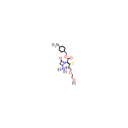 CCOCCOCCC([S-])=C(C(=O)OCc1ccc([N+](=O)[O-])cc1)N1C(=O)CC1[N+](CC)(CC)CC